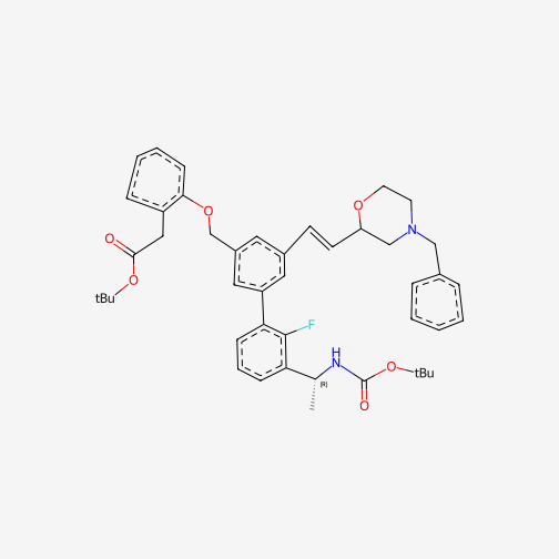 C[C@@H](NC(=O)OC(C)(C)C)c1cccc(-c2cc(C=CC3CN(Cc4ccccc4)CCO3)cc(COc3ccccc3CC(=O)OC(C)(C)C)c2)c1F